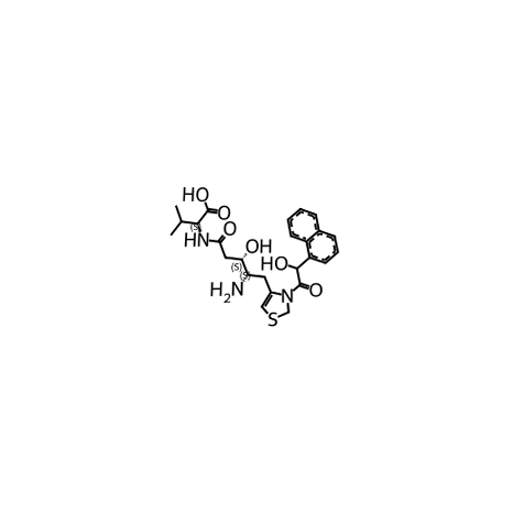 CC(C)[C@H](NC(=O)C[C@H](O)[C@@H](N)CC1=CSCN1C(=O)C(O)c1cccc2ccccc12)C(=O)O